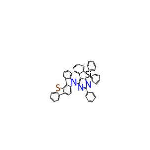 c1ccc(-c2nc(-n3c4ccccc4c4c5sc6ccccc6c5ccc43)c3c(n2)[Si](c2ccccc2)(c2ccccc2)c2ccccc2-3)cc1